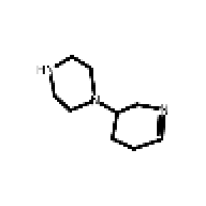 [C]1N=CCCC1N1CCNCC1